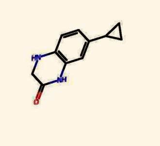 O=C1CNc2ccc(C3CC3)cc2N1